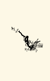 CCCCCCCCOc1ccc(NC(=O)CCc2cc(C(C)(C)C)c(O)c(C(C)(C)C)c2)cc1